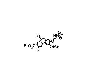 CCOC(=O)c1cn2c(cc1=O)-c1cc(OC)c(OCCNS(C)(=O)=O)cc1CC2CC